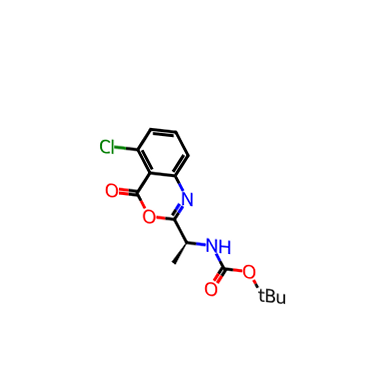 C[C@H](NC(=O)OC(C)(C)C)c1nc2cccc(Cl)c2c(=O)o1